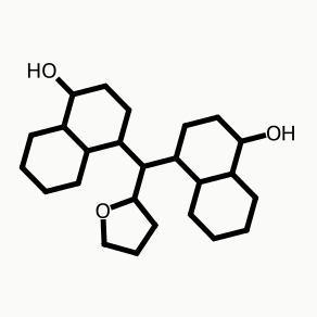 OC1CCC(C(C2CCCO2)C2CCC(O)C3CCCCC32)C2CCCCC12